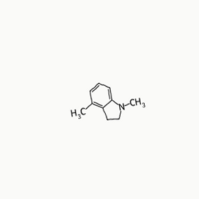 Cc1cccc2c1CCN2C